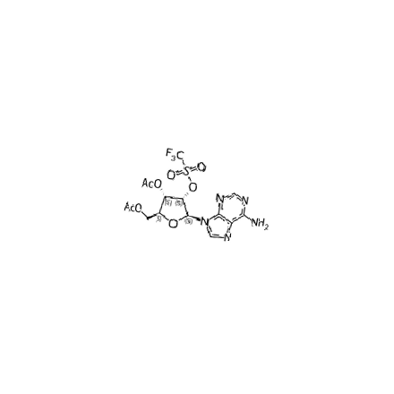 CC(=O)OC[C@@H]1O[C@H](n2cnc3c(N)ncnc32)[C@@H](OS(=O)(=O)C(F)(F)F)[C@H]1OC(C)=O